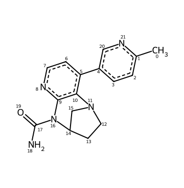 Cc1ccc(-c2ccnc3c2N2CCC(C2)N3C(N)=O)cn1